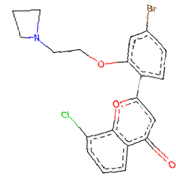 O=c1cc(-c2ccc(Br)cc2OCCN2CCC2)oc2c(Cl)cccc12